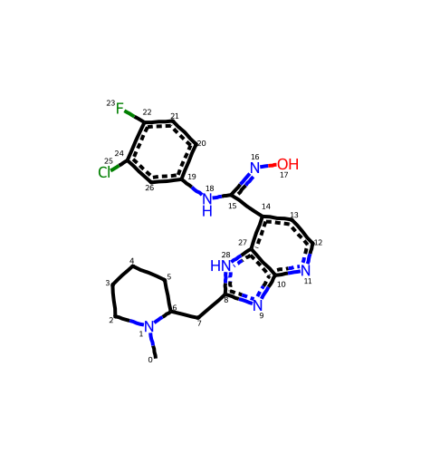 CN1CCCCC1Cc1nc2nccc(/C(=N\O)Nc3ccc(F)c(Cl)c3)c2[nH]1